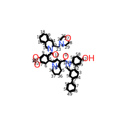 O=C(c1cc(-c2cc3c(cc2C(=O)N2Cc4ccccc4C[C@H]2CN2CCOCC2)OCO3)n2c1CCCC2)N(Cc1cccc(-c2ccccc2)c1)c1ccc(O)cc1